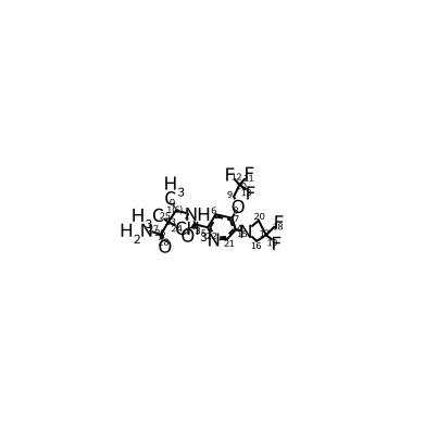 C[C@H](NC(=O)c1cc(OCC(F)(F)F)c(N2CC(F)(F)C2)cn1)C(C)(C)C(N)=O